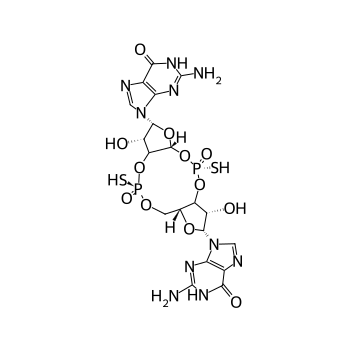 Nc1nc2c(ncn2[C@@H]2O[C@@H]3O[P@](=O)(S)OC4[C@@H](CO[P@@](=O)(S)OC3[C@@H]2O)O[C@@H](n2cnc3c(=O)[nH]c(N)nc32)[C@H]4O)c(=O)[nH]1